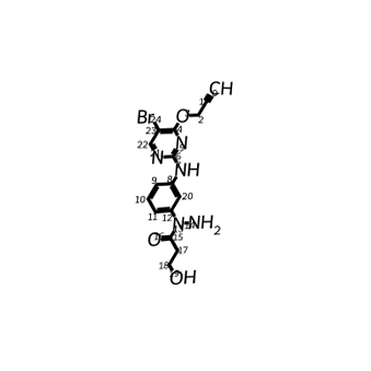 C#CCOc1nc(Nc2cccc(N(N)C(=O)CCO)c2)ncc1Br